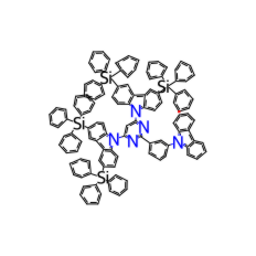 c1ccc([Si](c2ccccc2)(c2ccccc2)c2ccc3c(c2)c2cc([Si](c4ccccc4)(c4ccccc4)c4ccccc4)ccc2n3-c2cc(-n3c4ccc([Si](c5ccccc5)(c5ccccc5)c5ccccc5)cc4c4cc([Si](c5ccccc5)(c5ccccc5)c5ccccc5)ccc43)nc(-c3cccc(-n4c5ccccc5c5ccccc54)c3)n2)cc1